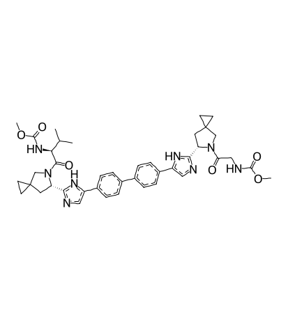 COC(=O)NCC(=O)N1CC2(CC2)C[C@H]1c1ncc(-c2ccc(-c3ccc(-c4cnc([C@@H]5CC6(CC6)CN5C(=O)[C@@H](NC(=O)OC)C(C)C)[nH]4)cc3)cc2)[nH]1